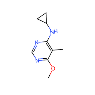 COc1ncnc(NC2CC2)c1C